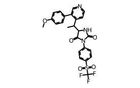 COc1ccc(-c2cnccc2C(C)C2NC(=O)N(c3ccc(S(=O)(=O)C(F)(F)F)cc3)C2=O)cc1